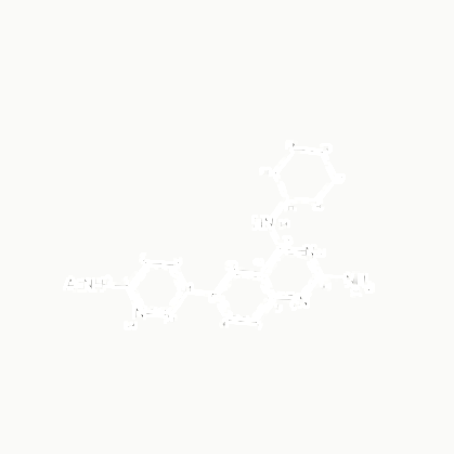 CC(=O)Nc1ccc(-c2ccc3nc(N)nc(NC4CCCCC4)c3c2)cn1